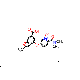 Cc1cc2c(Oc3ccc(C(=O)N(C)C)[n+]([O-])c3)cc(C(=O)O)cc2o1